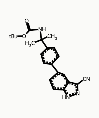 CC(C)(C)OC(=O)NC(C)(C)c1ccc(-c2ccc3[nH]nc(C#N)c3c2)cc1